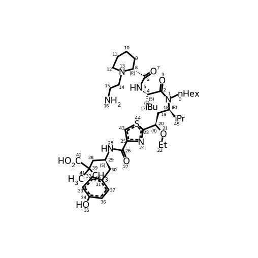 CCCCCCN(C(=O)[C@@H](NC(=O)[C@H]1CCCCN1CCN)[C@@H](C)CC)[C@H](C[C@@H](OCC)c1nc(C(=O)N[C@@H](Cc2ccc(O)cc2)CC(C)(C)C(=O)O)cs1)C(C)C